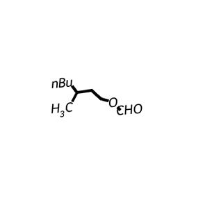 CCCCC(C)CCOC=O